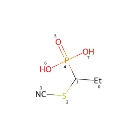 CCC(SC#N)P(=O)(O)O